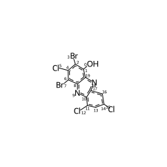 Oc1c(Br)c(Cl)c(Br)c2nc3c(Cl)cc(Cl)cc3nc12